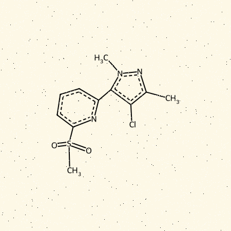 Cc1nn(C)c(-c2cccc(S(C)(=O)=O)n2)c1Cl